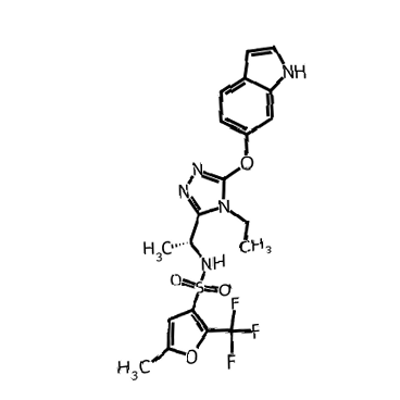 CCn1c(Oc2ccc3cc[nH]c3c2)nnc1[C@@H](C)NS(=O)(=O)c1cc(C)oc1C(F)(F)F